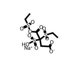 CCS(=O)(=O)OC(=O)C(CC(=O)[O-])(S(=O)(=O)O)S(=O)(=O)CC.[Na+]